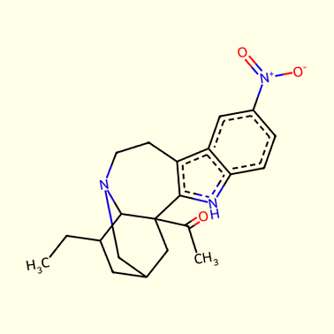 CCC1CC2CN3CCc4c([nH]c5ccc([N+](=O)[O-])cc45)C(C(C)=O)(C2)C13